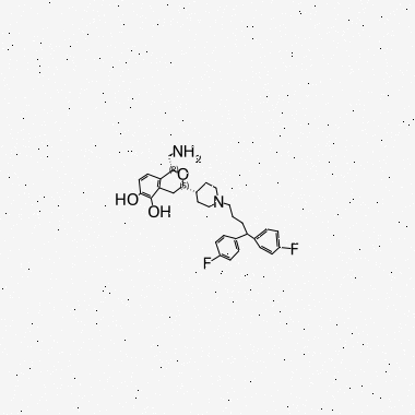 NC[C@@H]1O[C@H](C2CCN(CCCC(c3ccc(F)cc3)c3ccc(F)cc3)CC2)Cc2c1ccc(O)c2O